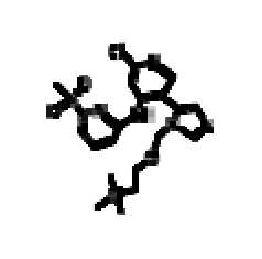 C[Si](C)(C)CCOCn1cncc1-c1cnc(Cl)cc1Nc1cccc(S(C)(=O)=O)n1